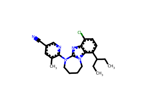 CCC(CC)c1ccc(Cl)c2nc3n(c12)CCCCN3c1ncc(C#N)cc1C